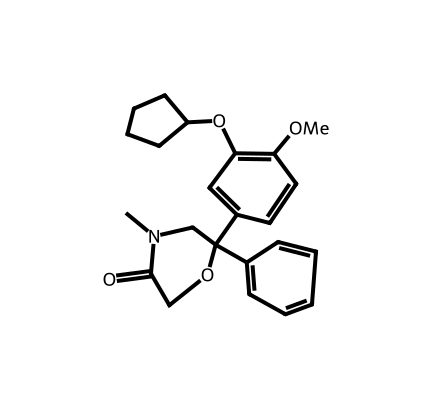 COc1ccc(C2(c3ccccc3)CN(C)C(=O)CO2)cc1OC1CCCC1